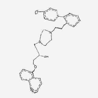 OC(COc1cccc2ncccc12)CN1CCN(CCc2ccccc2-c2ccc(Cl)cc2)CC1